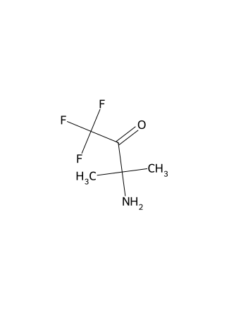 CC(C)(N)C(=O)C(F)(F)F